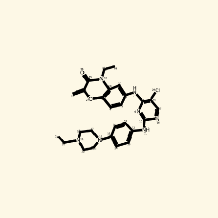 C=C1Oc2ccc(Nc3nc(Nc4ccc(N5CCN(CC)CC5)cc4)ncc3Cl)cc2N(CC)C1=O